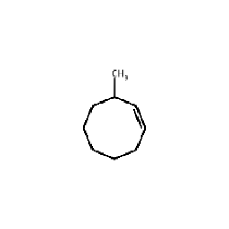 CC1C=CCCCCC1